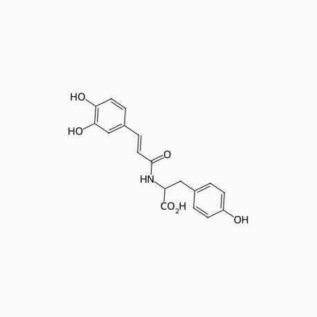 O=C(C=Cc1ccc(O)c(O)c1)NC(Cc1ccc(O)cc1)C(=O)O